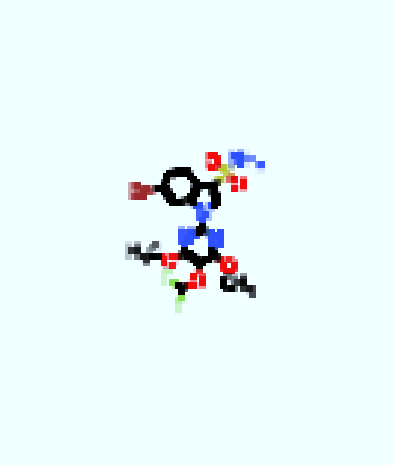 COc1nc(-n2cc(S(N)(=O)=O)c3ccc(Br)cc32)nc(OC)c1OC(F)F